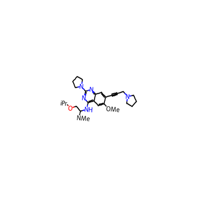 CNC(COC(C)C)Nc1nc(N2CCCC2)nc2cc(C#CCN3CCCC3)c(OC)cc12